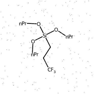 CCCO[Si](CCC(F)(F)F)(OCCC)OCCC